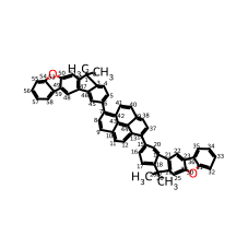 CC1(C)c2ccc(-c3ccc4ccc5c(-c6ccc7c(c6)-c6cc8c(cc6C7(C)C)oc6ccccc68)ccc6ccc3c4c65)cc2-c2cc3c(cc21)oc1ccccc13